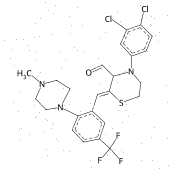 CN1CCN(c2ccc(C(F)(F)F)cc2C=C2SCCN(c3ccc(Cl)c(Cl)c3)C2C=O)CC1